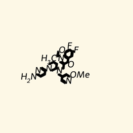 COc1cc(CN(Cc2cn3c4c(c(F)c(F)cc4c2=O)OC[C@@H]3C)[C@H]2CCCN(c3ccc(N)nc3)C2)ccn1